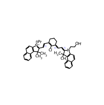 CCC[N+]1=C(/C=C/C2=C(Cl)C(=C/C=C3/N(CCO)c4ccc5ccccc5c4C3(C)C)/CCC2)C(C)(C)c2c1ccc1ccccc21